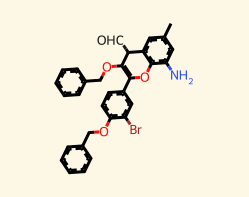 Cc1cc(N)c2c(c1)C(C=O)C(OCc1ccccc1)=C(c1ccc(OCc3ccccc3)c(Br)c1)O2